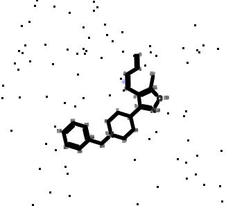 C=C/C=C\c1c(C2CCN(Cc3ccccc3)CC2)noc1C